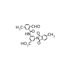 Cc1ccc(C=O)c(C(=O)Nc2cc(C(=O)O)cc(N3C(=O)c4ccc(C)cc4C3=O)c2)c1